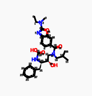 CCN(C)c1nc2ccc(C(=O)N(CC(C)C)C[C@H](O)[C@H](Cc3ccccc3)NC(=O)O)cc2o1